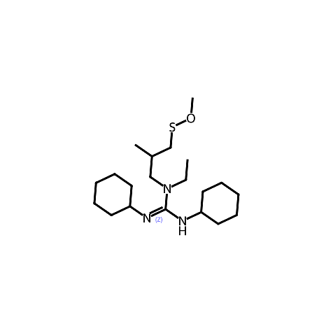 CCN(CC(C)CSOC)/C(=N\C1CCCCC1)NC1CCCCC1